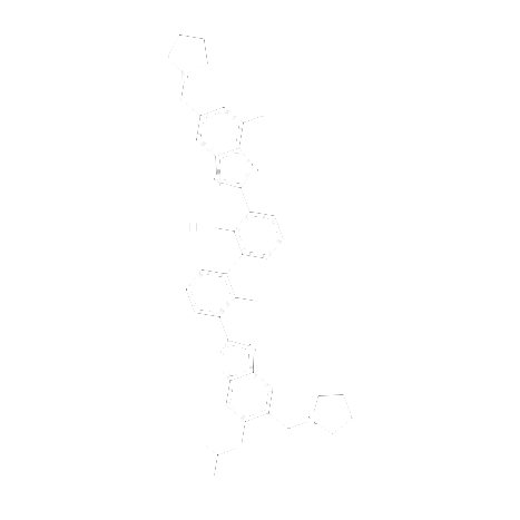 Cc1c(-c2nc3cc(CN4CCCC4)cc(C(F)(F)F)c3[nH]2)cccc1-c1cccc(-c2nc3cc(CN4CCC[C@H]4C(=O)O)c(OC(F)F)cc3o2)c1C